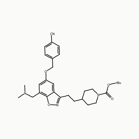 CN(C)Cc1cc(OCc2ccc(C#N)cc2)cc2c(CCC3CCN(C(=O)OC(C)(C)C)CC3)noc12